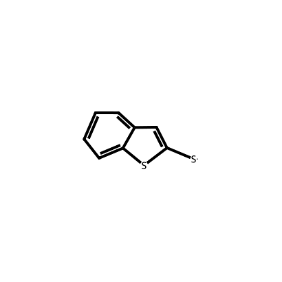 [S]c1cc2ccccc2s1